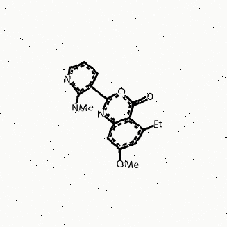 CCc1cc(OC)cc2nc(-c3cccnc3NC)oc(=O)c12